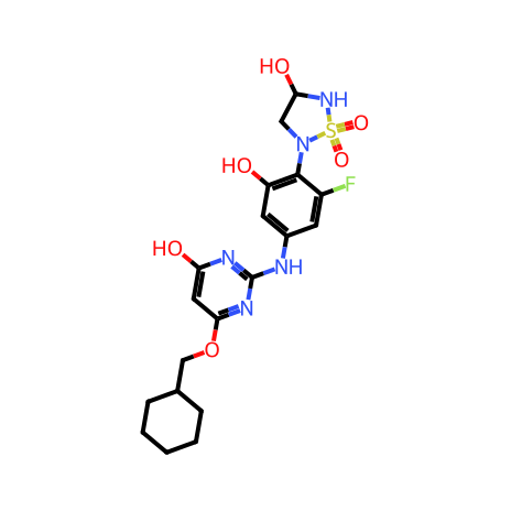 O=S1(=O)NC(O)CN1c1c(O)cc(Nc2nc(O)cc(OCC3CCCCC3)n2)cc1F